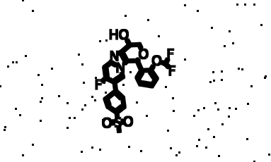 CS(=O)(=O)c1ccc(-c2cn3c4c(nc3cc2F)C(O)COC4c2ccccc2OC(F)F)cc1